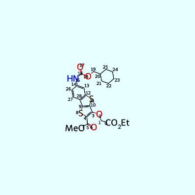 CCOC(=O)COc1c(C(=O)OC)sc2c1sc1cc(NC(=O)OCC3CCCCC3)ccc12